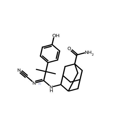 CC(C)(/C(=N\C#N)NC1C2CC3CC1CC(C(N)=O)(C3)C2)c1ccc(O)cc1